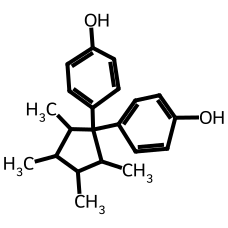 CC1C(C)C(C)C(c2ccc(O)cc2)(c2ccc(O)cc2)C1C